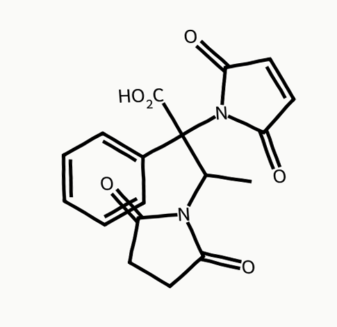 CC(N1C(=O)CCC1=O)C(C(=O)O)(c1ccccc1)N1C(=O)C=CC1=O